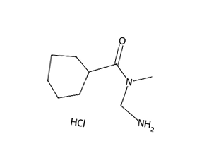 CN(CN)C(=O)C1CCCCC1.Cl